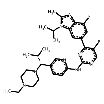 CCN1CCN([C@@H](c2ccc(Nc3ncc(F)c(-c4cc(F)c5nc(C)n(C(C)C)c5c4)n3)nc2)C(C)C)CC1